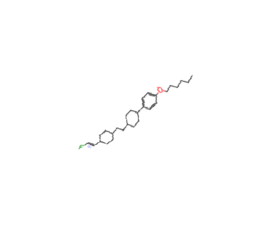 CCCCCCOc1ccc(C2CCC(CCC3CCC(/C=C/F)CC3)CC2)cc1